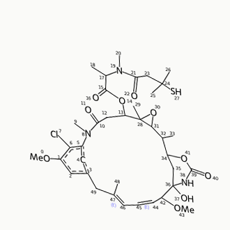 COc1cc2cc(c1Cl)N(C)C(=O)CC(OC(=O)C(C)N(C)C(=O)CC(C)(C)S)C1(C)OC1C(C)C1CC(O)(NC(=O)O1)C(OC)/C=C/C=C(\C)C2